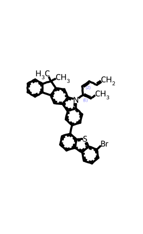 C=C/C=C\C(=C/C)n1c2ccc(-c3cccc4c3sc3c(Br)cccc34)cc2c2cc3c(cc21)C(C)(C)c1ccccc1-3